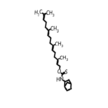 CC(C)=CCC/C(C)=C/CC/C(C)=C/CC/C(C)=C/COC(=S)NC1CC2CCC1C2